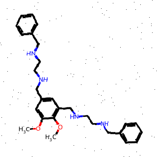 COc1cc(CNCCNCc2ccccc2)cc(CNCCNCc2ccccc2)c1OC